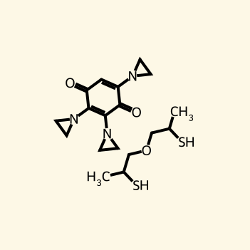 CC(S)COCC(C)S.O=C1C=C(N2CC2)C(=O)C(N2CC2)=C1N1CC1